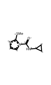 CSc1nccn1C(=O)NC1CC1